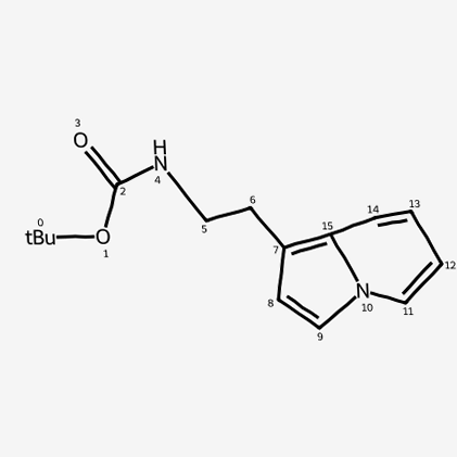 CC(C)(C)OC(=O)NCCc1ccn2ccccc12